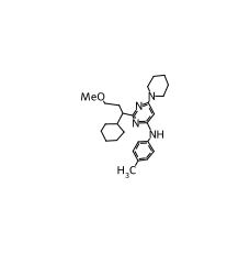 COCCC(c1nc(Nc2ccc(C)cc2)cc(N2CCCCC2)n1)C1CCCCC1